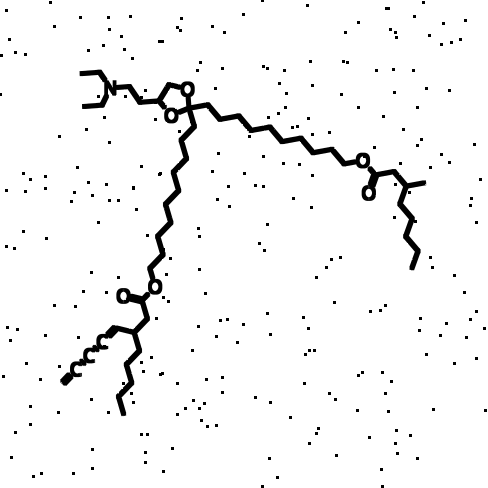 C=C=C=C=CC(CCCCC)CC(=O)OCCCCCCCCCCC1(CCCCCCCCCCOC(=O)CC(C)CCCCC)OCC(CCN(CC)CC)O1